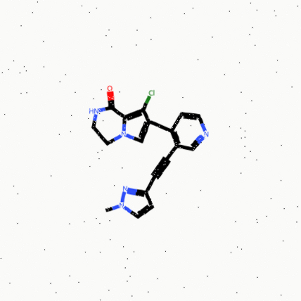 Cn1ccc(C#Cc2cnccc2-c2cn3c(c2Cl)C(=O)NCC3)n1